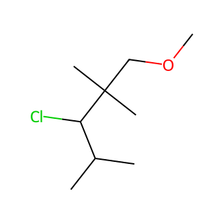 COCC(C)(C)C(Cl)C(C)C